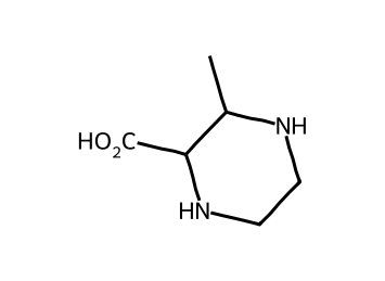 CC1NCCNC1C(=O)O